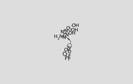 Nc1nc(C#CCC2CCN(C(=O)Oc3cccc(C(F)(F)F)c3)CC2)nc2c1ncn2[C@@H]1O[C@H](CO)C(O)[C@@H]1O